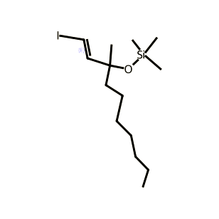 CCCCCCCC(C)(/C=C/I)O[Si](C)(C)C